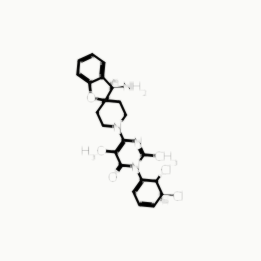 Cc1c(N2CCC3(CC2)Oc2ccccc2[C@H]3N)nc(C)n(C2=CC=C[C@H](Cl)C2Cl)c1=O